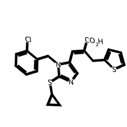 O=C(O)C(=Cc1cnc(SC2CC2)n1Cc1ccccc1Cl)Cc1cccs1